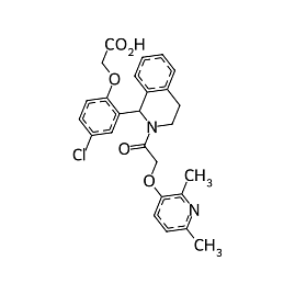 Cc1ccc(OCC(=O)N2CCc3ccccc3C2c2cc(Cl)ccc2OCC(=O)O)c(C)n1